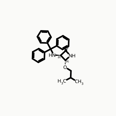 CC(C)CO[C@H]1NC(=O)[C@@H]1NC(c1ccccc1)(c1ccccc1)c1ccccc1